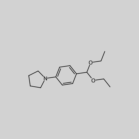 CCOC(OCC)c1ccc(N2CCCC2)cc1